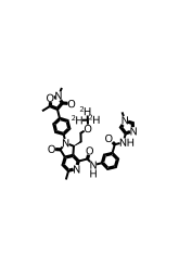 [2H]C([2H])([2H])OCC[C@H]1c2c(cc(C)nc2C(=O)Nc2cccc(C(=O)Nc3cn(C)cn3)c2)C(=O)N1c1ccc(-c2c(C)on(C)c2=O)cc1